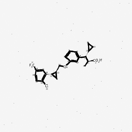 C[C@H](C(=O)O)[C@H](c1cccc(OC[C@H]2C[C@@H]2c2cc(C(F)(F)F)ccc2Cl)c1)C1CC1